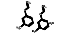 C=COc1cccc(C)c1.C=COc1cccc(C)c1.O